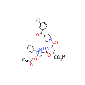 CC(C)(C)C(=O)COc1cc(C(=O)N[C@@H](CCC(=O)O)C(=O)N2CCC(C(=O)c3cccc(Cl)c3)CC2)nn1-c1ccccc1